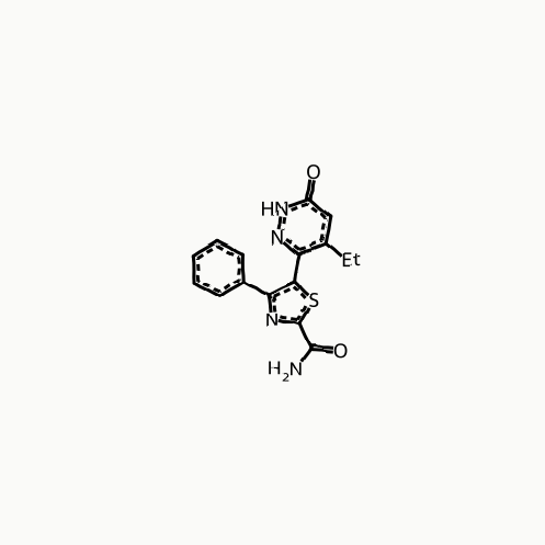 CCc1cc(=O)[nH]nc1-c1sc(C(N)=O)nc1-c1ccccc1